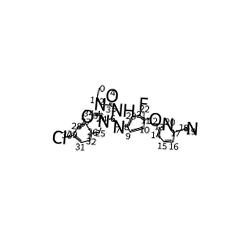 CCn1c(=O)[nH]/c(=N\c2ccc(Oc3cccc(C#N)n3)c(F)c2)n(Cc2ccc(Cl)cc2)c1=O